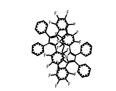 C[Si]1(CC[Si]2(C)C(c3c(F)c(F)c(F)c(F)c3F)=C(c3ccccc3)C(c3ccccc3)=C2c2c(F)c(F)c(F)c(F)c2F)C(c2c(F)c(F)c(F)c(F)c2F)=C(c2ccccc2)C(c2ccccc2)=C1c1c(F)c(F)c(F)c(F)c1F